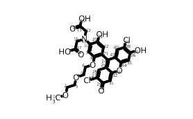 COCCOCCOc1cc(N(CC(=O)O)CC(=O)O)c(O)cc1-c1c2cc(Cl)c(=O)cc-2oc2cc(O)c(Cl)cc12